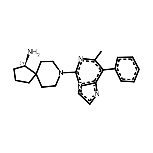 Cc1nc(N2CCC3(CCC[C@H]3N)CC2)n2ccnc2c1-c1ccccc1